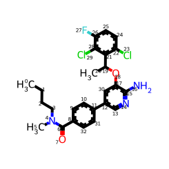 CCCCN(C)C(=O)c1ccc(-c2cnc(N)c(OC(C)c3c(Cl)ccc(F)c3Cl)c2)cc1